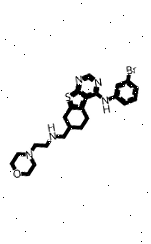 Brc1cccc(Nc2ncnc3sc4c(c23)CCC(CNCCN2CCOCC2)C4)c1